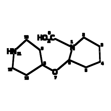 O=C(O)N1CCCCC1OC1CCNCC1